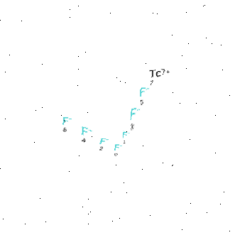 [F-].[F-].[F-].[F-].[F-].[F-].[F-].[Tc+7]